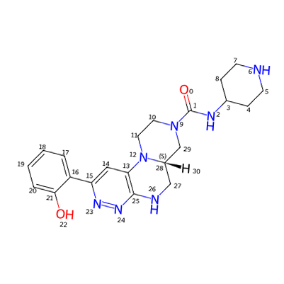 O=C(NC1CCNCC1)N1CCN2c3cc(-c4ccccc4O)nnc3NC[C@H]2C1